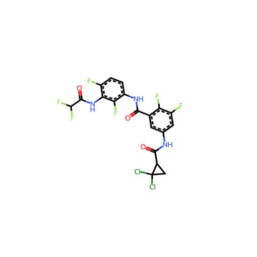 O=C(Nc1ccc(F)c(NC(=O)C(F)F)c1F)c1cc(NC(=O)C2CC2(Cl)Cl)cc(F)c1F